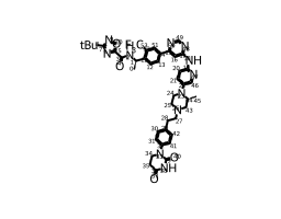 C[C@@H](NC(=O)c1nc(C(C)(C)C)no1)c1ccc(-c2cc(Nc3ccc(N4CCN(CCc5ccc(N6CCC(=O)NC6=O)cc5)C[C@@H]4C)cn3)ncn2)cc1C(F)(F)F